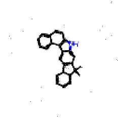 CC1(C)c2cc3[nH]c4ccc5ccccc5c4c3cc2C2C=CC=CC21